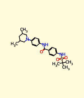 CC1CC(C)CN(c2ccc(NC(=O)c3ccc(NS(=O)(=O)C(C)(C)C)cc3)cc2)C1